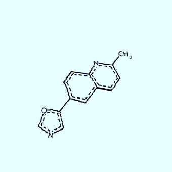 Cc1ccc2cc(-c3cnco3)ccc2n1